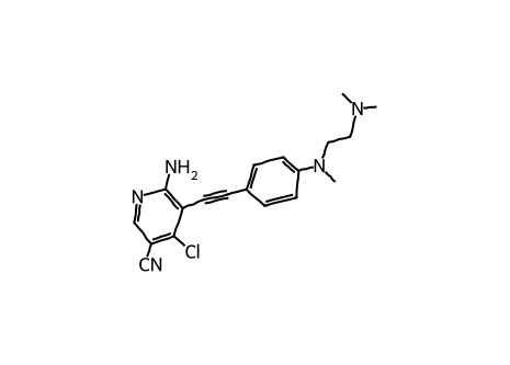 CN(C)CCN(C)c1ccc(C#Cc2c(N)ncc(C#N)c2Cl)cc1